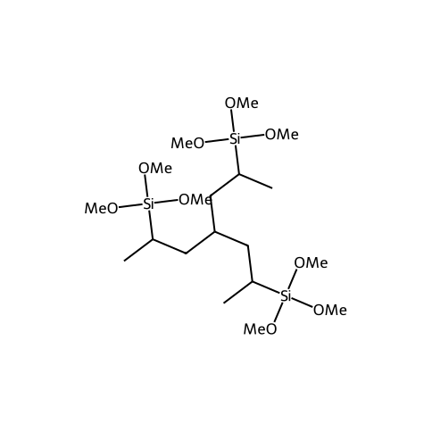 CO[Si](OC)(OC)C(C)CC(CC(C)[Si](OC)(OC)OC)CC(C)[Si](OC)(OC)OC